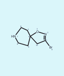 BrC1=NOC2(CCNCC2)C1